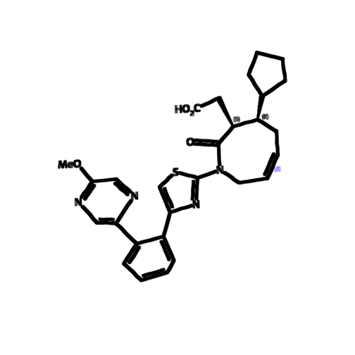 COc1cnc(-c2ccccc2-c2csc(N3C/C=C\C[C@H](C4CCCC4)[C@H](CC(=O)O)C3=O)n2)cn1